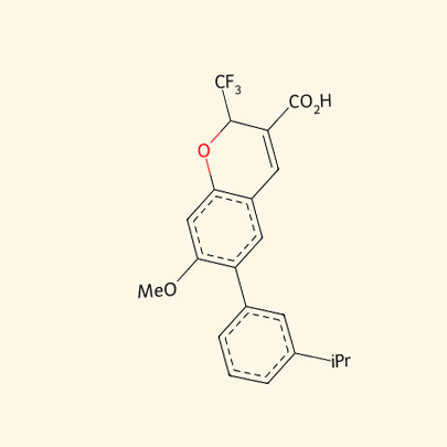 COc1cc2c(cc1-c1cccc(C(C)C)c1)C=C(C(=O)O)C(C(F)(F)F)O2